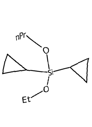 CCCO[Si](OCC)(C1CC1)C1CC1